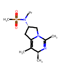 CC1=N[C@@H](C)C(C)=C2C[C@H](N(C(C)C)S(C)(=O)=O)CN12